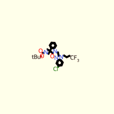 CC(C)(C)OC(=O)N1CC2(C1)C(=O)N(Cc1nc3cc(Cl)ccc3n1CCCC(F)(F)F)c1ccccc12